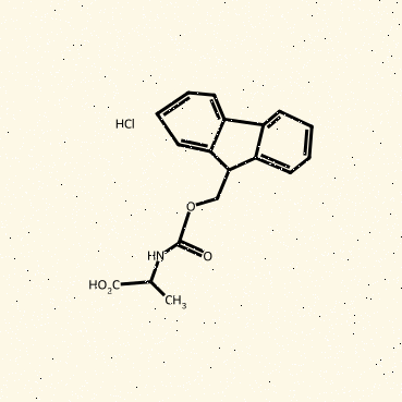 CC(NC(=O)OCC1c2ccccc2-c2ccccc21)C(=O)O.Cl